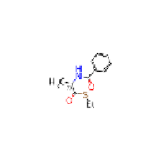 CCSC(=O)[C@@H](C)NC(=O)c1ccccc1